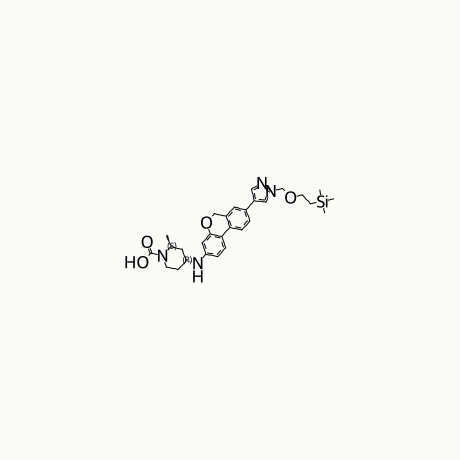 C[C@H]1C[C@H](Nc2ccc3c(c2)OCc2cc(-c4cnn(COCC[Si](C)(C)C)c4)ccc2-3)CCN1C(=O)O